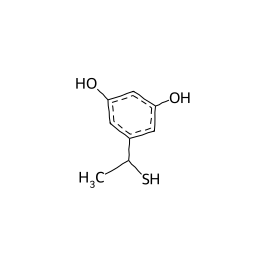 CC(S)c1cc(O)cc(O)c1